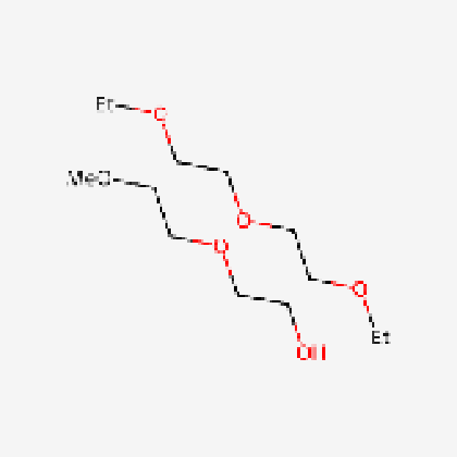 CCOCCOCCOCC.COCCOCCO